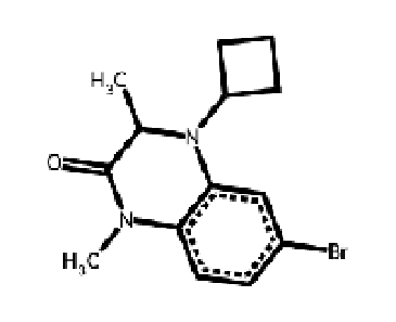 CC1C(=O)N(C)c2ccc(Br)cc2N1C1CCC1